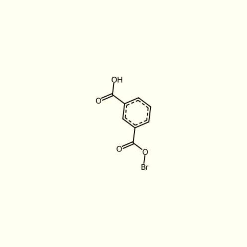 O=C(O)c1cccc(C(=O)OBr)c1